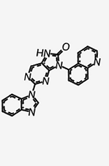 O=c1[nH]c2cnc(-n3cnc4ccccc43)nc2n1-c1cccc2ncccc12